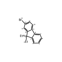 CCC1(CC)c2ccccc2-c2ccc(Br)cc21